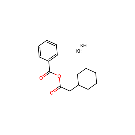 O=C(CC1CCCCC1)OC(=O)c1ccccc1.[KH].[KH]